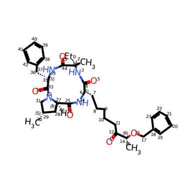 CC[C@]1(C)NC(=O)[C@H](CCCCCC(=O)[C@@H](C)OCc2ccccc2)NC(=O)[C@H]2C[C@H](C)CN2C(=O)[C@H](Cc2ccccc2)NC1=O